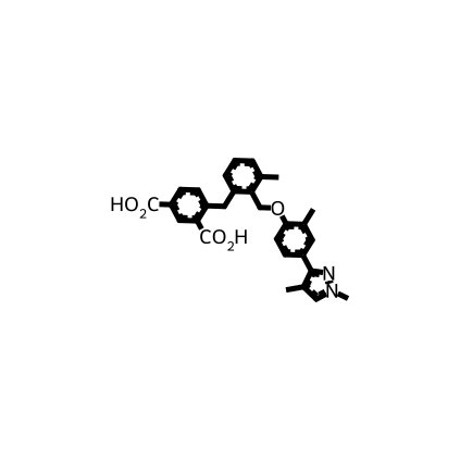 Cc1cc(-c2nn(C)cc2C)ccc1OCc1c(C)cccc1Cc1ccc(C(=O)O)cc1C(=O)O